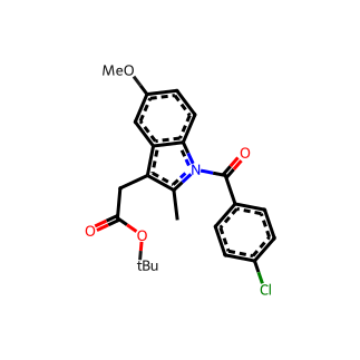 COc1ccc2c(c1)c(CC(=O)OC(C)(C)C)c(C)n2C(=O)c1ccc(Cl)cc1